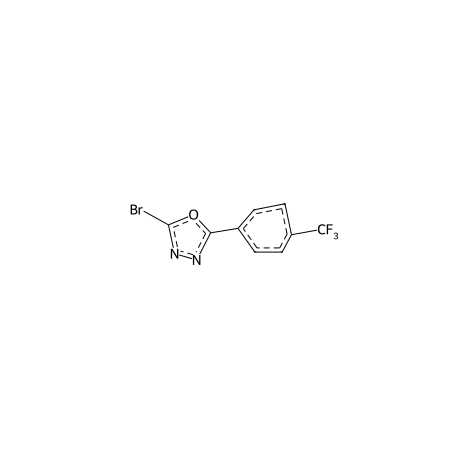 FC(F)(F)c1ccc(-c2nnc(Br)o2)cc1